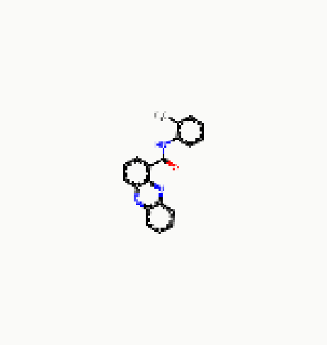 O=C(Nc1ccccc1C(F)(F)F)c1cccc2nc3ccccc3nc12